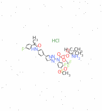 C[C@@H](C(=O)Nc1ccc(-c2ccc3nc(N(C(=O)OCOC(=O)[C@@H](N)C(C)(C)C)c4ccc(S(C)(=O)=O)cc4OCC(F)(F)F)nn3c2)cc1)c1ccc(F)cc1.Cl